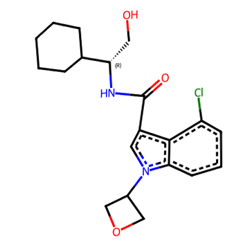 O=C(N[C@@H](CO)C1CCCCC1)c1cn(C2COC2)c2cccc(Cl)c12